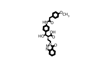 COc1ccc(CC(=O)Nc2ccc(C(O)[C@H](CCn3nnc4ccccc4c3=O)C(=O)O)cc2)cc1